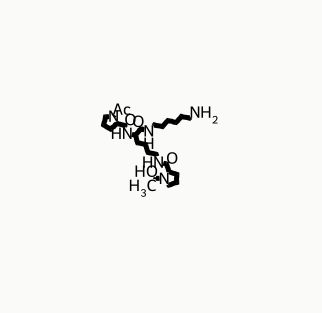 CC(=O)N1CCCC1C(=O)NC(CCCCNC(=O)C1CCCN1C(C)O)C(=O)NCCCCCCN